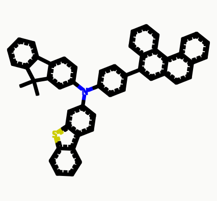 CC1(C)c2ccccc2-c2ccc(N(c3ccc(-c4cc5ccc6ccccc6c5c5ccccc45)cc3)c3ccc4c(c3)sc3ccccc34)cc21